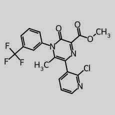 COC(=O)c1nc(-c2cccnc2Cl)c(C)n(-c2cccc(C(F)(F)F)c2)c1=O